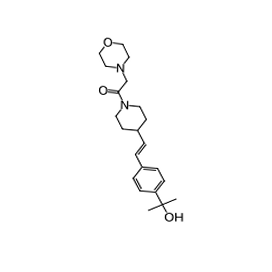 CC(C)(O)c1ccc(C=CC2CCN(C(=O)CN3CCOCC3)CC2)cc1